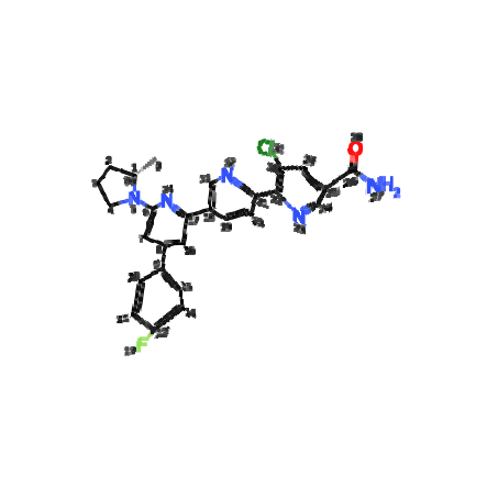 C[C@H]1CCCN1c1cc(-c2ccc(F)cc2)cc(-c2ccc(-c3ncc(C(N)=O)cc3Cl)nc2)n1